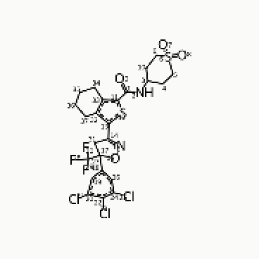 O=C(NC1CCS(=O)(=O)CC1)c1sc(C2=NOC(c3cc(Cl)c(Cl)c(Cl)c3)(C(F)(F)F)C2)c2c1CCCC2